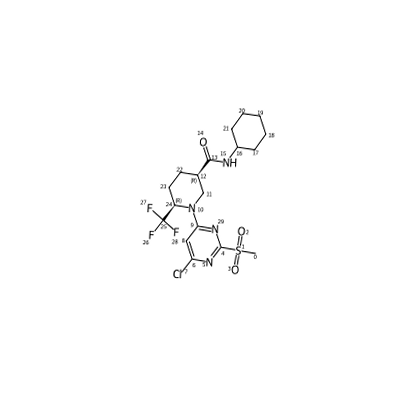 CS(=O)(=O)c1nc(Cl)cc(N2C[C@H](C(=O)NC3CCCCC3)CC[C@@H]2C(F)(F)F)n1